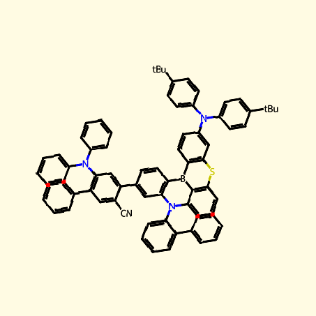 CC(C)(C)c1ccc(N(c2ccc(C(C)(C)C)cc2)c2ccc3c(c2)Sc2cccc4c2B3c2ccc(-c3cc(N(c5ccccc5)c5ccccc5)c(-c5ccccc5)cc3C#N)cc2N4c2ccccc2-c2ccccc2)cc1